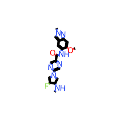 CNC1CN(c2cnc(C(=O)Nc3cc4cn(C)nc4cc3OC)cn2)CC1F